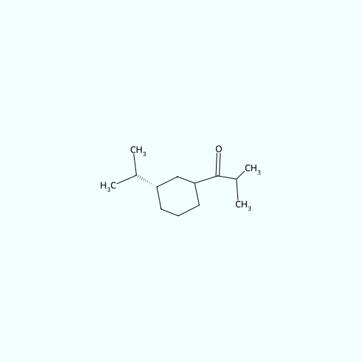 CC(C)C(=O)C1CCC[C@H](C(C)C)C1